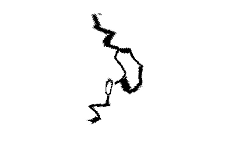 [CH2]CC=Cc1ccccc1OCCC=C